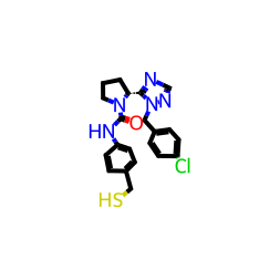 O=C(Nc1ccc(CS)cc1)N1CCC[C@@H]1c1ncnn1Cc1ccc(Cl)cc1